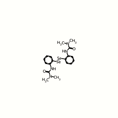 CN(C)C(=O)Nc1ccccc1[Se][Se]c1ccccc1NC(=O)N(C)C